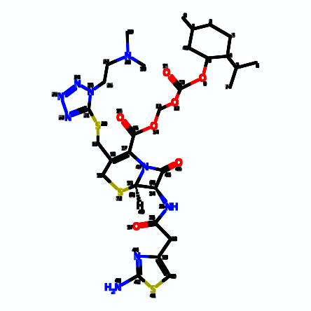 CC1CCC(C(C)C)C(OC(=O)OCOC(=O)C2=C(CSc3nnnn3CCN(C)C)CS[C@@H]3[C@H](NC(=O)Cc4csc(N)n4)C(=O)N23)C1